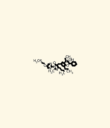 CCCCc1nc(C)n(-c2ncc(OCCSC)cn2)c(=O)c1Cc1cc(CCC)c(OC(C(=O)O)c2ccccc2)c(CCC)c1